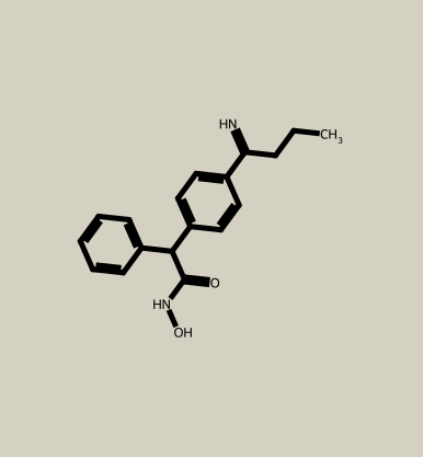 CCCC(=N)c1ccc(C(C(=O)NO)c2ccccc2)cc1